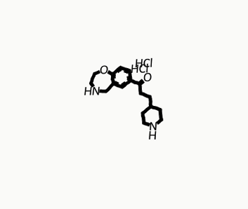 Cl.Cl.O=C(CCC1CCNCC1)c1ccc2c(c1)CNCCO2